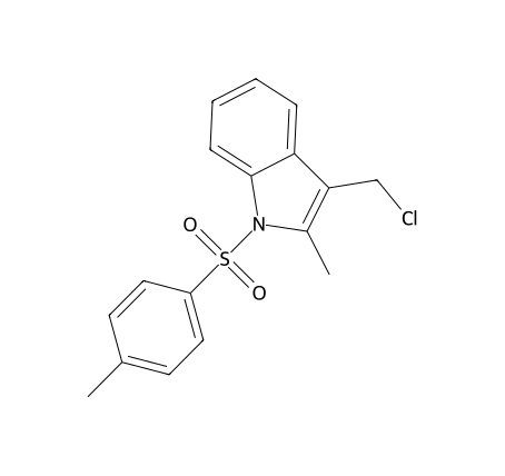 Cc1ccc(S(=O)(=O)n2c(C)c(CCl)c3ccccc32)cc1